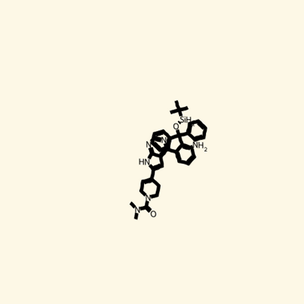 CN(C)C(=O)N1CC=C(c2cc3c(-c4cccc(N)c4C(O[SiH2]C(C)(C)C)(c4ccccc4)c4ccccc4)ncnc3[nH]2)CC1